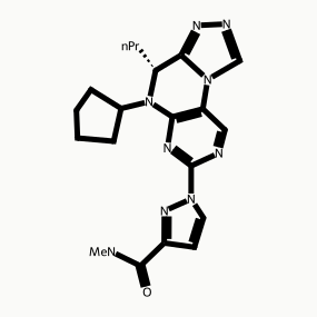 CCC[C@@H]1c2nncn2-c2cnc(-n3ccc(C(=O)NC)n3)nc2N1C1CCCC1